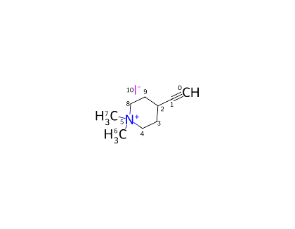 C#CC1CC[N+](C)(C)CC1.[I-]